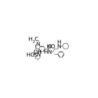 CCn1ccc2c(N3CCCS3(O)O)cc(C(=O)N[C@@H](Cc3ccccc3)[C@H](O)CNC3CCCCC3)cc21